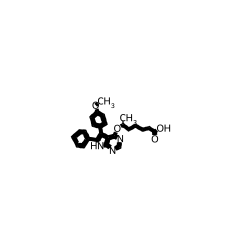 COc1ccc(-c2c(-c3ccccc3)[nH]c3ncnc(O[C@H](C)CCCCC(=O)O)c23)cc1